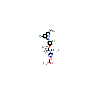 COc1cnc2c(-c3nc4c(Cl)c(F)c(O[C@@H](C)C(C)N(C(=O)O)c5cnc(OC[C@@H](C)O)nc5)cc4s3)cc(Cl)cc2c1